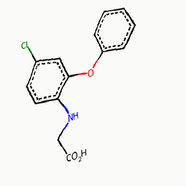 O=C(O)CNc1ccc(Cl)cc1Oc1ccccc1